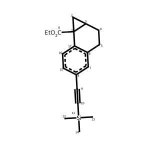 CCOC(=O)C12CC1CCc1cc(C#C[Si](C)(C)C)ccc12